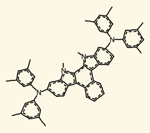 Cc1cc(C)cc(N(c2cc(C)cc(C)c2)c2ccc3c4c5ccccc5c5c6ccc(N(c7cc(C)cc(C)c7)c7cc(C)cc(C)c7)cc6n(C)c5c4n(C)c3c2)c1